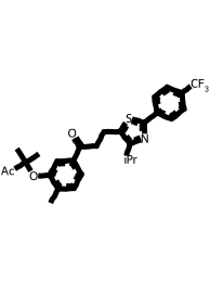 CC(=O)C(C)(C)Oc1cc(C(=O)CCc2sc(-c3ccc(C(F)(F)F)cc3)nc2C(C)C)ccc1C